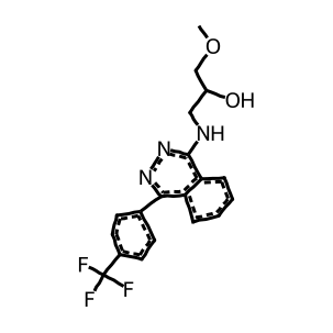 COCC(O)CNc1nnc(-c2ccc(C(F)(F)F)cc2)c2ccccc12